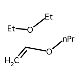 C=COCCC.CCOCC